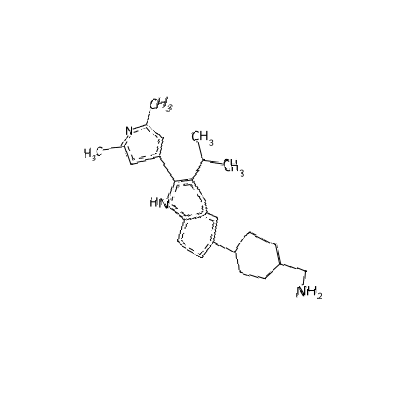 Cc1cc(-c2[nH]c3ccc(C4CCC(CN)CC4)cc3c2C(C)C)cc(C)n1